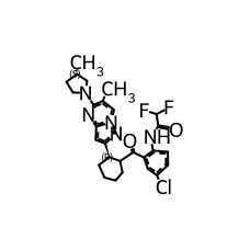 Cc1cn2nc([C@@H]3CCCCC3C(=O)c3cc(Cl)ccc3NC(=O)C(F)F)cc2nc1N1CC[C@H](C)C1